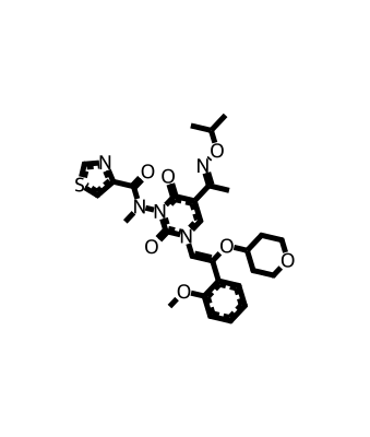 COc1ccccc1/C(=C/n1cc(/C(C)=N/OC(C)C)c(=O)n(N(C)C(=O)c2cscn2)c1=O)OC1CCOCC1